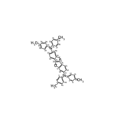 Cc1ccc(N(c2ccc(C)cc2)c2ccc3c(c2)oc2c4ccc(N(c5ccc(C)cc5)c5ccc(C)cc5)cc4sc32)cc1